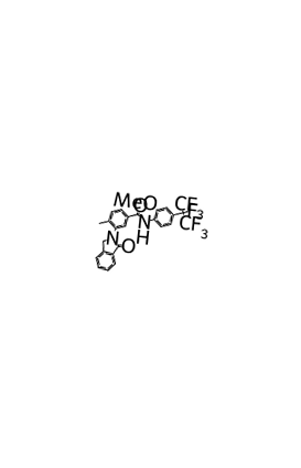 COc1cc(C(F)(C(F)(F)F)C(F)(F)F)ccc1NC(=O)c1ccc(C)c(N2Cc3ccccc3C2=O)c1